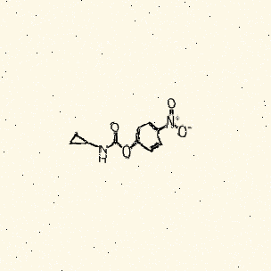 O=C(NC1CC1)Oc1ccc([N+](=O)[O-])cc1